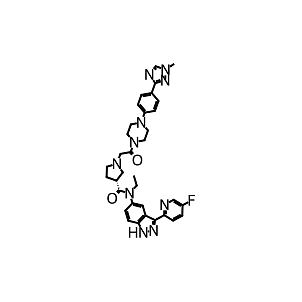 CCN(C(=O)[C@@H]1CCN(CC(=O)N2CCN(c3ccc(-c4ncn(C)n4)cc3)CC2)C1)c1ccc2[nH]nc(-c3ccc(F)cn3)c2c1